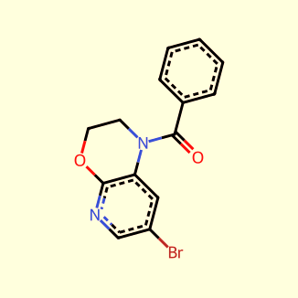 O=C(c1ccccc1)N1CCOc2ncc(Br)cc21